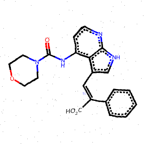 O=C(O)/C(=C/c1c[nH]c2nccc(NC(=O)N3CCOCC3)c12)c1ccccc1